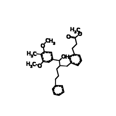 COC(=O)CCc1cccc(CC(CCCc2ccccc2)C(O)c2cc(OC)c(C)c(OC)c2)c1